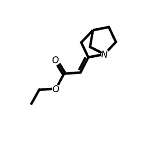 CCOC(=O)C=C1CC2CCN1C2